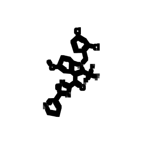 COc1ccc2c(c1)c(C(=O)c1noc(-c3cccnc3)n1)c(C(F)(F)F)n2Cc1ccc(Cl)cc1Cl